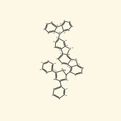 c1ccc(C2=NC(c3cccc4oc5c(ccc6c7ccc(-n8c9ccccc9c9ccccc98)cc7oc65)c34)NC(c3ccccc3)=N2)cc1